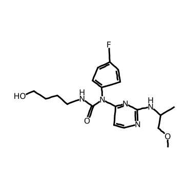 COCC(C)Nc1nccc(N(C(=O)NCCCCO)c2ccc(F)cc2)n1